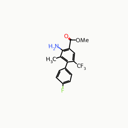 COC(=O)c1cc(C(F)(F)F)c(-c2ccc(F)cc2)c(C)c1N